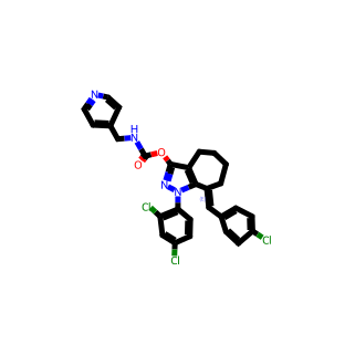 O=C(NCc1ccncc1)Oc1nn(-c2ccc(Cl)cc2Cl)c2c1CCCC/C2=C\c1ccc(Cl)cc1